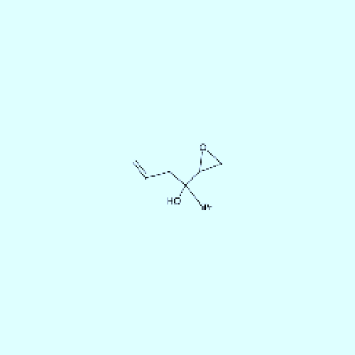 C=CCC(O)(C(C)C)C1CO1